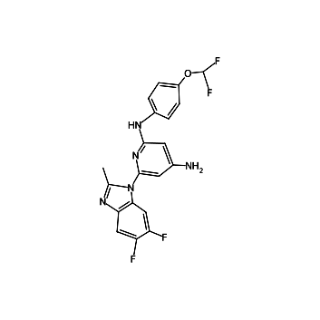 Cc1nc2cc(F)c(F)cc2n1-c1cc(N)cc(Nc2ccc(OC(F)F)cc2)n1